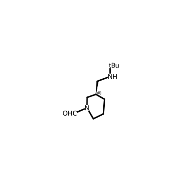 CC(C)(C)NC[C@H]1CCCN(C=O)C1